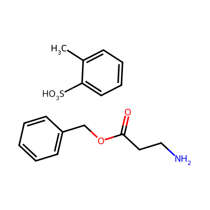 Cc1ccccc1S(=O)(=O)O.NCCC(=O)OCc1ccccc1